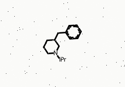 CC(C)N1CCCC(Cc2ccccc2)C1